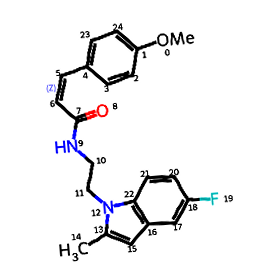 COc1ccc(/C=C\C(=O)NCCn2c(C)cc3cc(F)ccc32)cc1